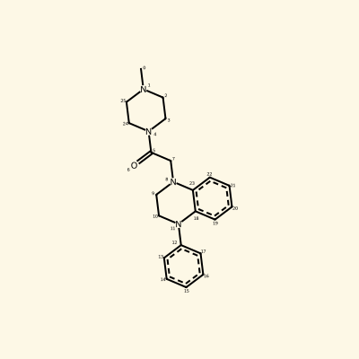 CN1CCN(C(=O)CN2CCN(c3ccccc3)c3ccccc32)CC1